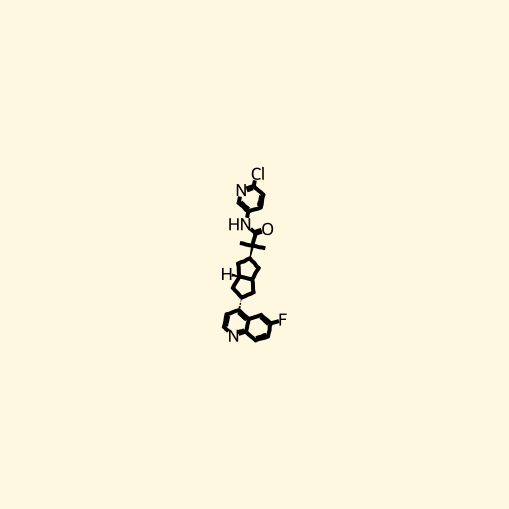 CC(C)(C(=O)Nc1ccc(Cl)nc1)[C@H]1CC2C[C@H](c3ccnc4ccc(F)cc34)C[C@@H]2C1